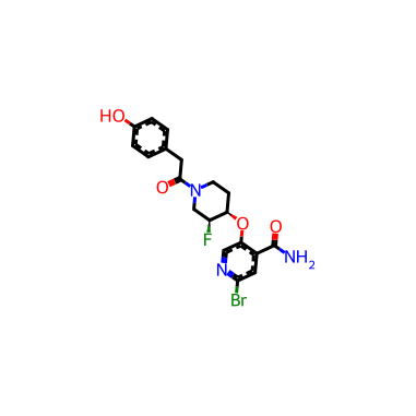 NC(=O)c1cc(Br)ncc1O[C@@H]1CCN(C(=O)Cc2ccc(O)cc2)C[C@@H]1F